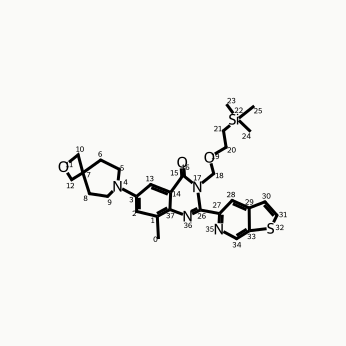 Cc1cc(N2CCC3(CC2)COC3)cc2c(=O)n(COCC[Si](C)(C)C)c(-c3cc4ccsc4cn3)nc12